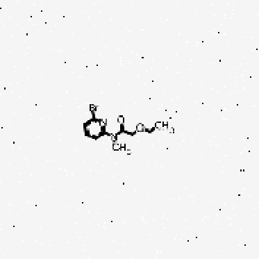 CCOCC(=O)N(C)c1cccc(Br)n1